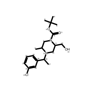 CC1CN(C(=O)OC(C)(C)C)C(CO)CN1C(C)c1cccc(Cl)c1